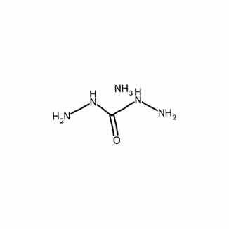 N.NNC(=O)NN